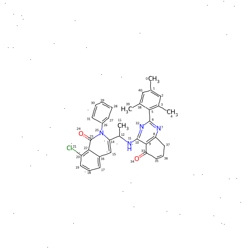 Cc1cc(C)c(-c2nc3c(c(NC(C)c4cc5cccc(Cl)c5c(=O)n4-c4ccccc4)n2)C(=O)C=CC3)c(C)c1